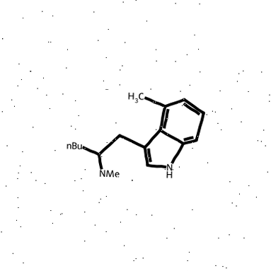 CCCCC(Cc1c[nH]c2cccc(C)c12)NC